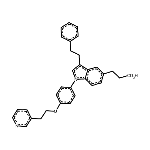 O=C(O)CCc1ccc2c(c1)c(CCc1ccccc1)cn2-c1ccc(OCCc2cccnc2)cc1